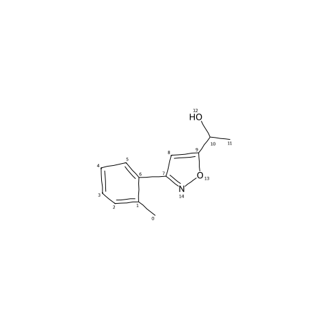 Cc1ccccc1-c1cc(C(C)O)on1